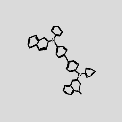 CC1CC(N(c2ccccc2)c2ccc(-c3ccc(N(c4ccccc4)c4ccc5ccccc5c4)cc3)cc2)=Cc2ccccc21